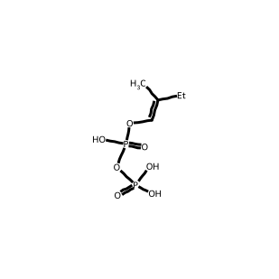 CCC(C)=COP(=O)(O)OP(=O)(O)O